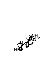 CC[C@@]12CN(c3ncnc4[nH]ccc34)CCC1CCN(S(N)(=O)=O)C2